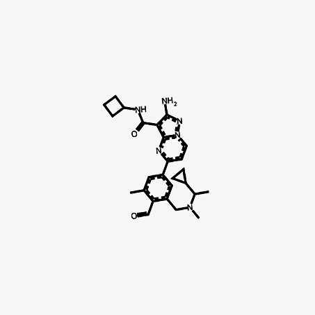 Cc1cc(-c2ccn3nc(N)c(C(=O)NC4CCC4)c3n2)cc(CN(C)C(C)C2CC2)c1C=O